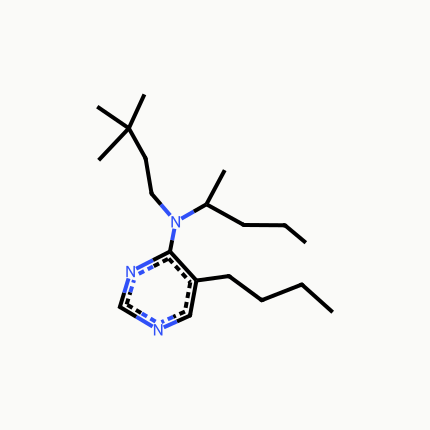 CCCCc1cncnc1N(CCC(C)(C)C)C(C)CCC